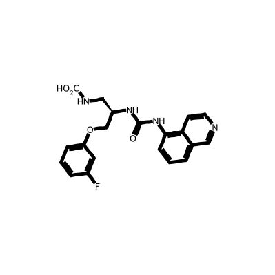 O=C(O)NC[C@H](COc1cccc(F)c1)NC(=O)Nc1cccc2cnccc12